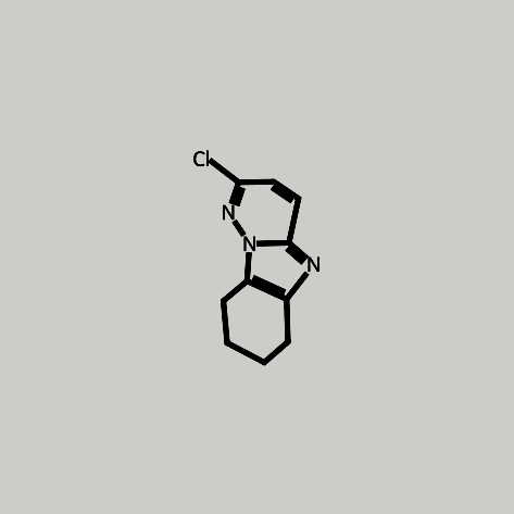 Clc1ccc2nc3c(n2n1)CCCC3